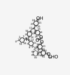 Cc1ccc(N(c2ccc(C)cc2)c2ccc(C=C(c3ccc(O)cc3)c3ccc(OC(=O)Oc4ccc(C5(c6ccc(OC=O)cc6)CCCCC5)cc4)cc3)cc2)cc1